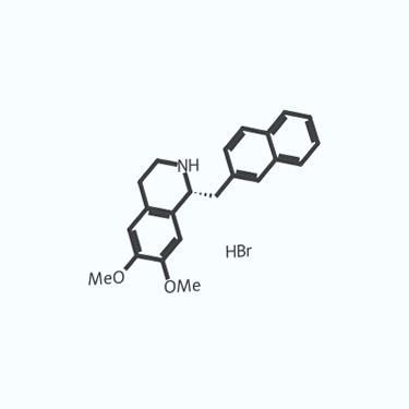 Br.COc1cc2c(cc1OC)[C@@H](Cc1ccc3ccccc3c1)NCC2